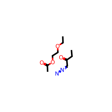 CCC(=O)C=[N+]=[N-].CCOCCOC(C)=O